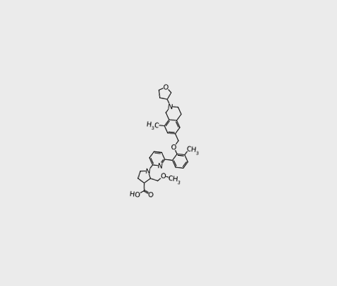 COCC1C(C(=O)O)CCN1c1cccc(-c2cccc(C)c2OCc2cc(C)c3c(c2)CCN(C2CCOC2)C3)n1